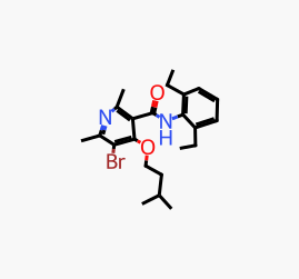 CCc1cccc(CC)c1NC(=O)c1c(C)nc(C)c(Br)c1OCCC(C)C